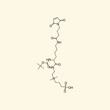 CC(C)(C)OC(=O)NC(CCCCNC(=O)CCCN1C(=O)C=CC1=O)C(=O)NCC[N+](C)(C)CCCS(=O)(=O)O